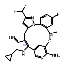 C[C@H]1Oc2cc(cnc2N)/C(NCC2CC2)=C(/C=N)Cc2cc(C(F)F)nn2-c2ccc(F)cc21